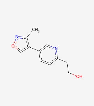 Cc1nocc1-c1ccc(CCO)nc1